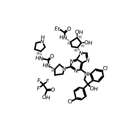 CCC(=O)N[C@H]1C[C@@H](n2cnc3c(NCC(O)(c4ccc(Cl)cc4)c4ccc(Cl)cc4)nc(N4CC[C@@H](NC(=O)N[C@@H]5CCNC5)C4)nc32)[C@H](O)[C@@H]1O.O=C(O)C(F)(F)F